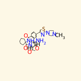 CN1CCN(c2nc(-c3ccc(C(=O)NC4(C(=O)N5C[C@@H](N)[C@H]6OCC(=O)[C@H]65)CCCCC4)cc3)cs2)CC1